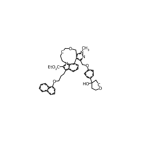 CCOC(=O)c1c(CCCOc2cccc3ccccc23)c2cccc3c2n1CCCCOCc1c-3c(COc2ccc(C3(O)CCOCC3)cc2)nn1C